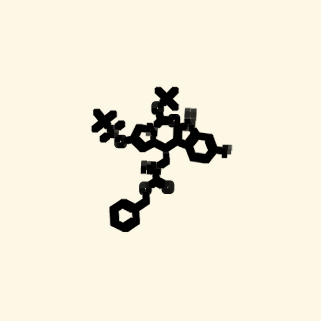 CC(C)(C)OC(=O)N1CC(O[Si](C)(C)C(C)(C)C)=C[C@H]1[C@H](CNC(=O)OCc1ccccc1)c1c[nH]c2cc(F)ccc12